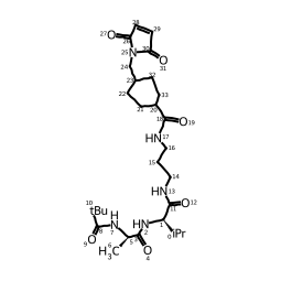 CC(C)[C@@H](NC(=O)[C@@H](C)NC(=O)C(C)(C)C)C(=O)NCCCNC(=O)C1CCC(CN2C(=O)C=CC2=O)CC1